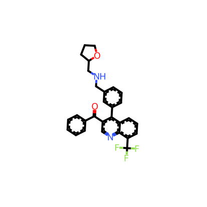 O=C(c1ccccc1)c1cnc2c(C(F)(F)F)cccc2c1-c1cccc(CNCC2CCCO2)c1